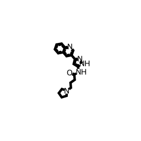 O=C(CCCN1CCCC1)Nc1cc(-c2cnc3ccccc3c2)n[nH]1